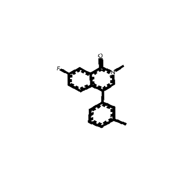 Cc1cccc(-c2cn(C)c(=O)c3cc(F)ccc23)c1